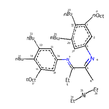 CCCCCCCCc1cc(N=C(C)C(CC)=Nc2cc(CCCC)c(CCCC)c(CCCCCCCC)c2)cc(CCCC)c1CCCC.C[CH2][Ni][CH2]C